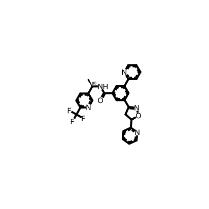 C[C@@H](NC(=O)c1cc(C2=NOC(c3ccccn3)C2)cc(-c2ccccn2)c1)c1ccc(C(F)(F)F)nc1